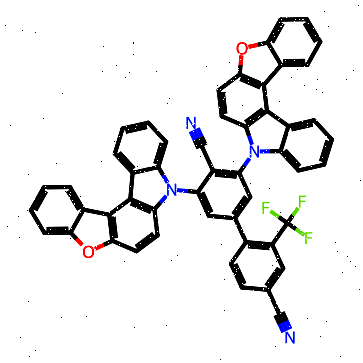 N#Cc1ccc(-c2cc(-n3c4ccccc4c4c5c(ccc43)oc3ccccc35)c(C#N)c(-n3c4ccccc4c4c5c(ccc43)oc3ccccc35)c2)c(C(F)(F)F)c1